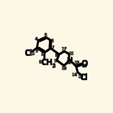 Cc1c(Cl)cccc1C1CCN(C(=O)CCl)CC1